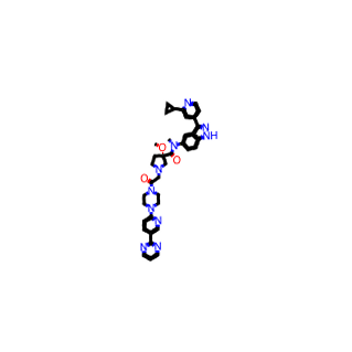 CO[C@@]1(C(=O)N(C)c2ccc3[nH]nc(-c4ccnc(C5CC5)c4)c3c2)CCN(CC(=O)N2CCN(c3ccc(-c4ncccn4)cn3)CC2)C1